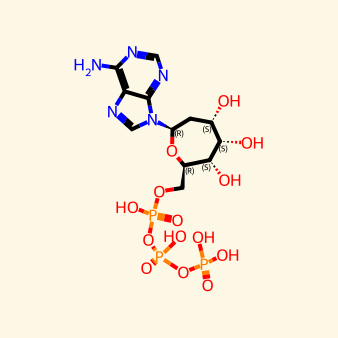 Nc1ncnc2c1ncn2[C@H]1C[C@H](O)[C@H](O)[C@H](O)[C@@H](COP(=O)(O)OP(=O)(O)OP(=O)(O)O)O1